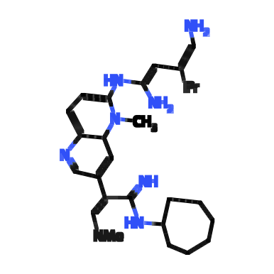 CN/C=C(\C(=N)NC1CCCCCC1)C1=CC2C(=CC=C(N/C(N)=C/C(=C\N)C(C)C)N2C)N=C1